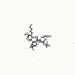 CCCCCC(NC(=O)[C@@H]1C2C(CN1C(=O)[C@H](CCCO)NC(=O)OC(C)(C)C)C2(C)C)C(=O)OC